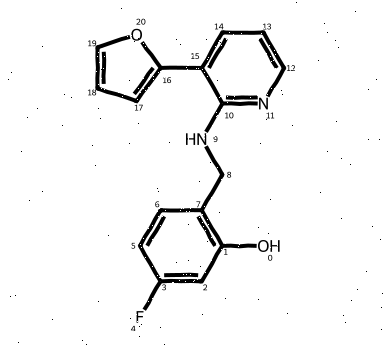 Oc1cc(F)ccc1CNc1ncccc1-c1ccco1